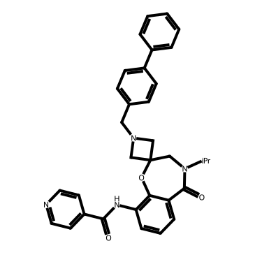 CC(C)N1CC2(CN(Cc3ccc(-c4ccccc4)cc3)C2)Oc2c(NC(=O)c3ccncc3)cccc2C1=O